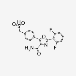 NC(=O)c1nc(-c2c(F)cccc2F)oc1-c1ccc(C[SH](=O)=O)cc1